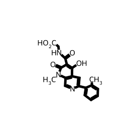 Cc1ccccc1-c1cc2c(O)c(C(=O)NCC(=O)O)c(=O)n(C)c2cn1